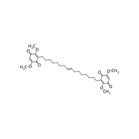 COC1=CC(=O)C(OC)=C(CCCCCCCC=CCCCCCCCC2=C(OC)C(=O)C=C(OC)C2=O)C1=O